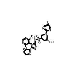 COc1ncnc(OC)c1-n1c(NS(=O)(=O)C2C[C@H](O)CN(c3ncc(F)cn3)C2)nnc1[C@@H]1CCCO1